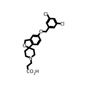 O=C(O)CCN1CCC2(CC1)OCc1cc(OCc3cc(Cl)cc(Cl)c3)ccc12